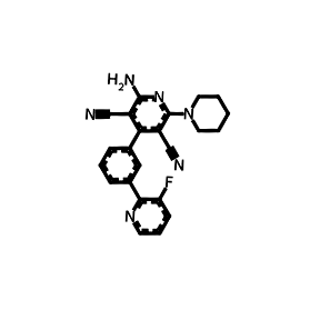 N#Cc1c(N)nc(N2CCCCC2)c(C#N)c1-c1cccc(-c2ncccc2F)c1